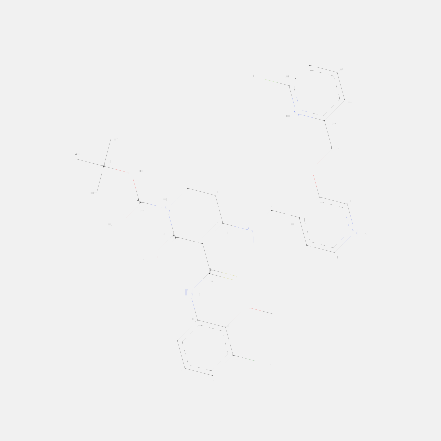 COc1c(Cl)cccc1NC(=S)C1=C(NCc2ccncc2OCc2cccc(F)n2)CCN(C(=O)OC(C)(C)C)C1=O